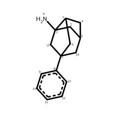 NC12CC3CC1CC(c1ccccc1)(C3)C2